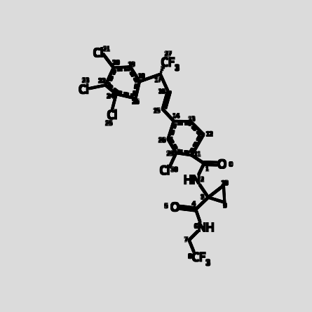 O=C(NC1(C(=O)NCC(F)(F)F)CC1)c1ccc(/C=C/[C@H](c2cc(Cl)c(Cl)c(Cl)c2)C(F)(F)F)cc1Cl